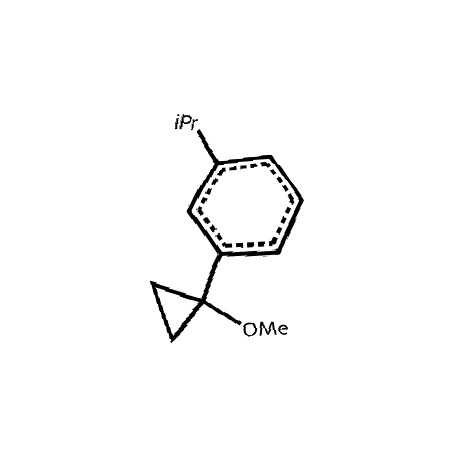 COC1(c2cccc(C(C)C)c2)CC1